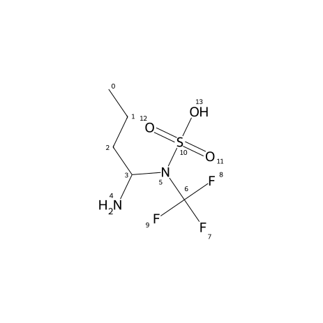 CCCC(N)N(C(F)(F)F)S(=O)(=O)O